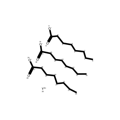 CCCCCCCC(=O)[O-].CCCCCCCC(=O)[O-].CCCCCCCC(=O)[O-].[Y+3]